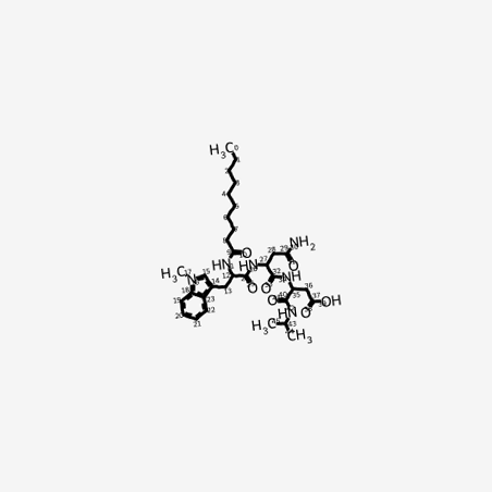 CCCCCCCCCC(=O)NC(Cc1cn(C)c2ccccc12)C(=O)NC(CC(N)=O)C(=O)NC(CC(=O)O)C(=O)NC(C)C